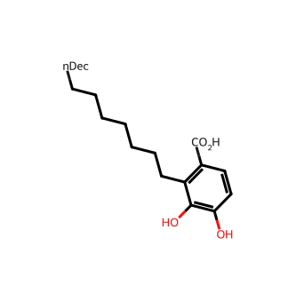 CCCCCCCCCCCCCCCCCc1c(C(=O)O)ccc(O)c1O